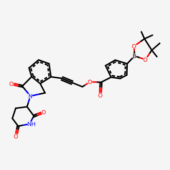 CC1(C)OB(c2ccc(C(=O)OCC#Cc3cccc4c3CN(C3CCC(=O)NC3=O)C4=O)cc2)OC1(C)C